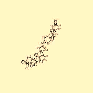 O=C1CCC(N2C(=O)c3cccc(N4CCC(CN5CCC(C(F)(F)CN6CCNCC6)CC5)CC4)c3C2=O)C(=O)N1